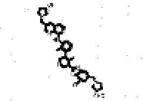 Cc1c(Nc2nccc3cc(CN4CC[C@@H](O)C4)cnc23)cccc1-c1cncc(-c2nc3cc(CN4CC[C@@H](C=O)C4)cc(Cl)c3o2)c1C